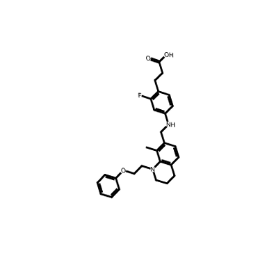 Cc1c(CNc2ccc(CCC(=O)O)c(F)c2)ccc2c1N(CCOc1ccccc1)CCC2